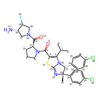 CC(C)C1=C(C(=O)N2CCC[C@H]2C(=O)N2C[C@H](N)[C@@H](F)C2)SC2=N[C@@](C)(c3ccc(Cl)cc3)[C@@H](c3ccc(Cl)cc3)N21